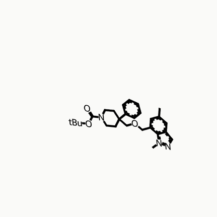 Cc1cc(COCC2(c3ccccc3)CCN(C(=O)OC(C)(C)C)CC2)c2c(cnn2C)c1